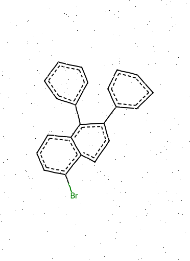 Brc1cccc2c(-c3ccccc3)c(-c3ccccc3)ccc12